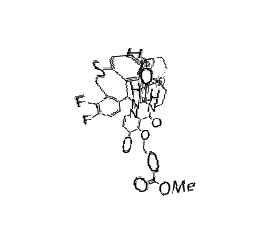 COC(=O)OCOc1c2n(ccc1=O)N(C1c3ccccc3SCc3c1ccc(F)c3F)[C@@H]1[C@H]3C[C@@H]4CC[C@@]3(CCN1C2=O)O4